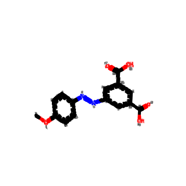 COc1ccc(N=Nc2cc(C(=O)O)cc(C(=O)O)c2)cc1